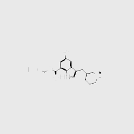 CCOC(=O)c1cc(Br)cc2c(CC3CCCS(=O)(=O)C3)c[nH]c12